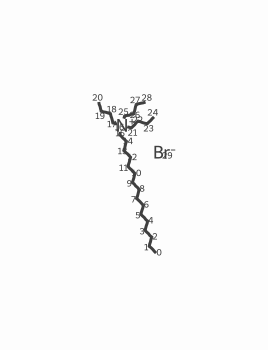 CCCCCCCCCCCCCCCC[N+](CCCC)(CCCC)CCCC.[Br-]